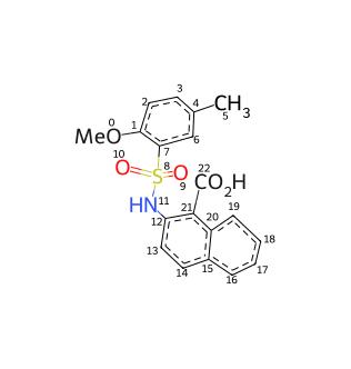 COc1ccc(C)cc1S(=O)(=O)Nc1ccc2ccccc2c1C(=O)O